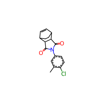 Cc1cc(N2C(=O)C3C4C=CC(CC4)C3C2=O)ccc1Cl